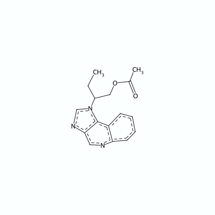 CCC(COC(C)=O)n1cnc2cnc3ccccc3c21